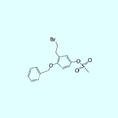 CS(=O)(=O)Oc1ccc(OCc2ccccc2)c(CCBr)c1